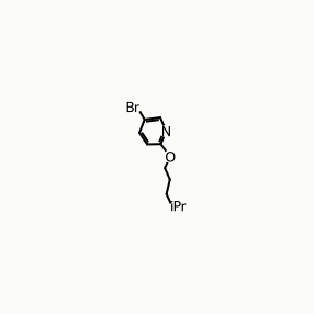 CC(C)CCCOc1ccc(Br)cn1